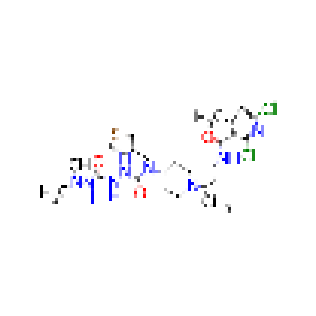 Cc1cc(Cl)nc(Cl)c1C(=O)NCCC(C)N1CCC(N(Cc2ccsc2)C(=O)NNC(=O)NN(C)C)CC1